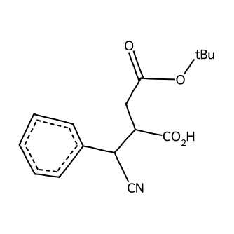 CC(C)(C)OC(=O)CC(C(=O)O)C(C#N)c1ccccc1